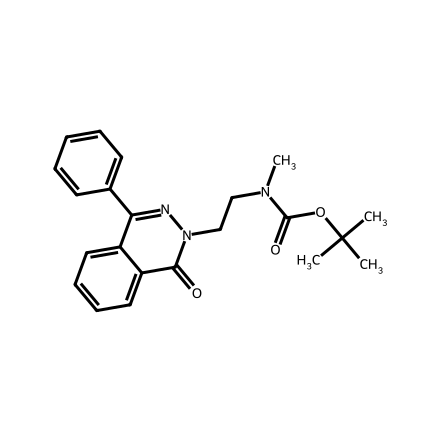 CN(CCn1nc(-c2ccccc2)c2ccccc2c1=O)C(=O)OC(C)(C)C